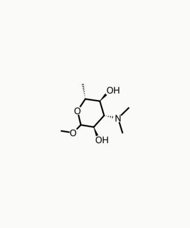 COC1O[C@H](C)[C@@H](O)[C@H](N(C)C)[C@H]1O